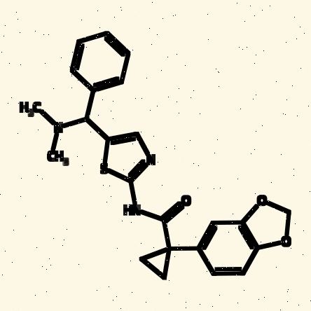 CN(C)C(c1ccccc1)c1cnc(NC(=O)C2(c3ccc4c(c3)OCO4)CC2)s1